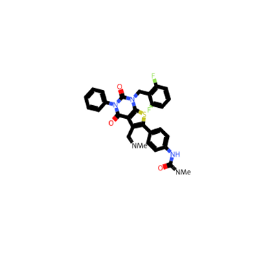 CNCc1c(-c2ccc(NC(=O)NC)cc2)sc2c1c(=O)n(-c1ccccc1)c(=O)n2Cc1c(F)cccc1F